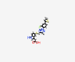 Cc1nn(-c2ccc(-c3cccs3)cc2F)nc1CSc1ccc2[nH]cc(CC(=O)O)c2c1